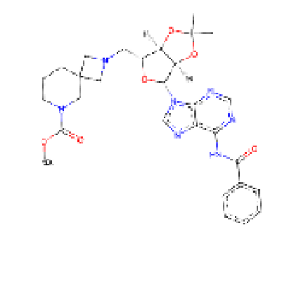 CC(C)(C)OC(=O)N1CCCC2(CN(C[C@H]3O[C@@H](n4cnc5c(NC(=O)c6ccccc6)ncnc54)[C@@H]4OC(C)(C)O[C@@H]43)C2)C1